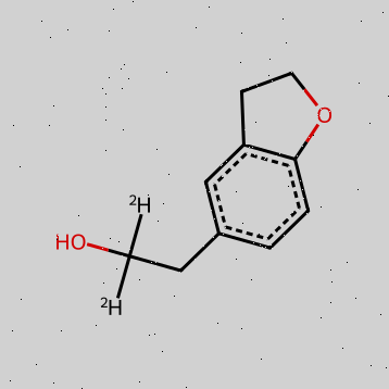 [2H]C([2H])(O)Cc1ccc2c(c1)CCO2